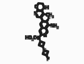 Cc1c(-c2cc3cc(N(C(=O)O)[C@H]4C[C@H](N5CC(F)C5)C4)ncc3c(N)c2F)cnc2c1NCCO2